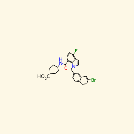 O=C(NC1CCC(C(=O)O)CC1)c1ccc(F)c2ccn(Cc3ccc4ccc(Br)cc4c3)c12